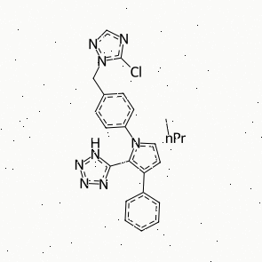 CCCC.Clc1ncnn1Cc1ccc(-n2ccc(-c3ccccc3)c2-c2nnn[nH]2)cc1